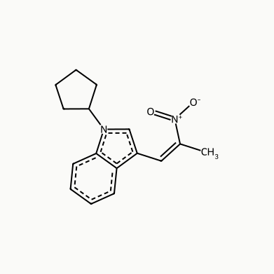 CC(=Cc1cn(C2CCCC2)c2ccccc12)[N+](=O)[O-]